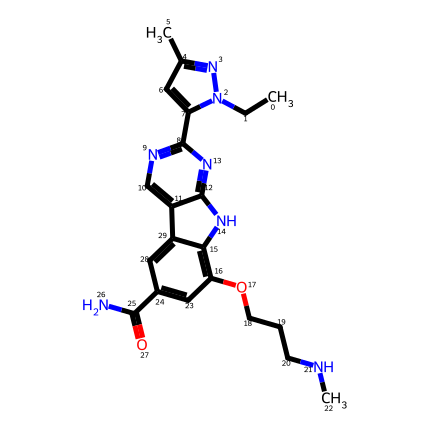 CCn1nc(C)cc1-c1ncc2c(n1)[nH]c1c(OCCCNC)cc(C(N)=O)cc12